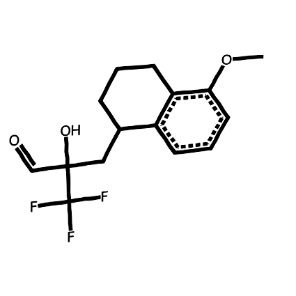 COc1cccc2c1CCCC2CC(O)(C=O)C(F)(F)F